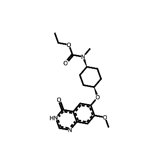 CCOC(=O)N(C)[C@H]1CC[C@@H](Oc2cc3c(=O)[nH]cnc3cc2OC)CC1